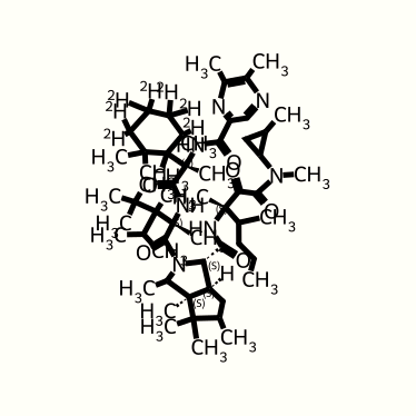 [2H]C1([2H])C([2H])([2H])C([2H])(C)C(C)([C@](C)(NC(=O)c2cnc(C)c(C)n2)C(=O)N[C@](C)(C(=O)N2C(C)[C@@]3(C)[C@H](CC(C)C3(C)C)[C@H]2C(=O)N[C@](C)(C(=O)C(=O)N(C)C2CC2C)C(C)CCC)C(C)(C(C)C)C(C)(C)C)C(C)(C)C1([2H])[2H]